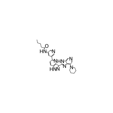 CCCCC(=O)Nc1cncc(-c2ccc3[nH]nc(-c4nc5c(N6CCCCC6)cncc5[nH]4)c3n2)c1